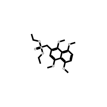 CCOP(=O)(Cc1cc(OC)c2c(OC)ccc(OC)c2c1OC)OCC